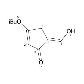 CC(C)COC1=CC(=O)C(=CO)C1